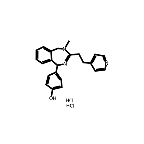 CN1Cc2ccccc2C(c2ccc(O)cc2)N=C1CCc1ccncc1.Cl.Cl